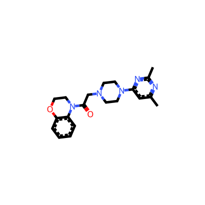 Cc1cc(N2CCN(CC(=O)N3CCOc4ccccc43)CC2)nc(C)n1